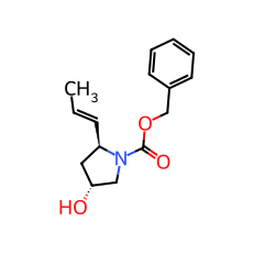 C/C=C/[C@@H]1C[C@@H](O)CN1C(=O)OCc1ccccc1